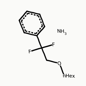 CCCCCCOCC(F)(F)c1ccccc1.N